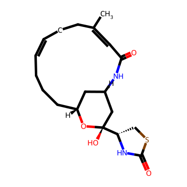 CC1=CC(=O)N[C@@H]2C[C@@H](CCCC=CCC1)O[C@@](O)([C@@H]1CSC(=O)N1)C2